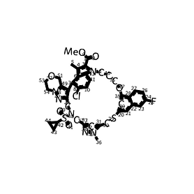 COC(=O)c1c(C)c2c3c(Cl)ccc2n1CCCOc1cc(cc2cc(F)ccc12)SCc1cc(nn1C)CN(S(=O)(=O)C1CC1)Cc1nn2c(c1-3)COCC2